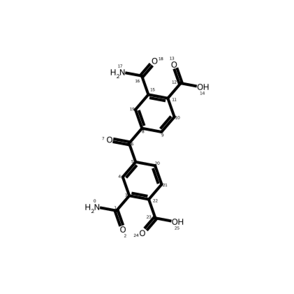 NC(=O)c1cc(C(=O)c2ccc(C(=O)O)c(C(N)=O)c2)ccc1C(=O)O